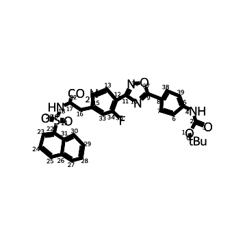 CC(C)(C)OC(=O)Nc1ccc(-c2nc(-c3ccc(CC(NS(=O)(=O)c4cccc5ccccc45)C(=O)O)cc3F)no2)cc1